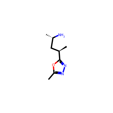 Cc1nnc([C@H](C)C[C@H](C)N)o1